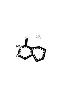 O=c1[nH]ncc2ccccc12.[LiH]